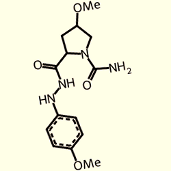 COc1ccc(NNC(=O)C2CC(OC)CN2C(N)=O)cc1